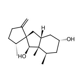 C=C1CC[C@@H](C)[C@]12C[C@@H]1C[C@H](O)C[C@@H](C)[C@]1(C)[C@H]2O